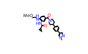 COCCNc1ccc(C(=O)N2CCC(c3ccc(-c4cnn(C)c4)cc3)CC2)cc1NC(=O)C1CC1